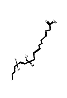 [2H]C([2H])(C=CCC)C=CC([2H])([2H])CC=CCCCCCCC(=O)O